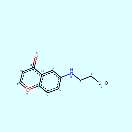 O=CCCNc1ccc2o[c]cc(=O)c2c1